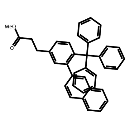 COC(=O)CCc1ccc(C(c2ccccc2)(c2ccccc2)c2ccccc2)c(-c2ccc3ccccc3c2)c1